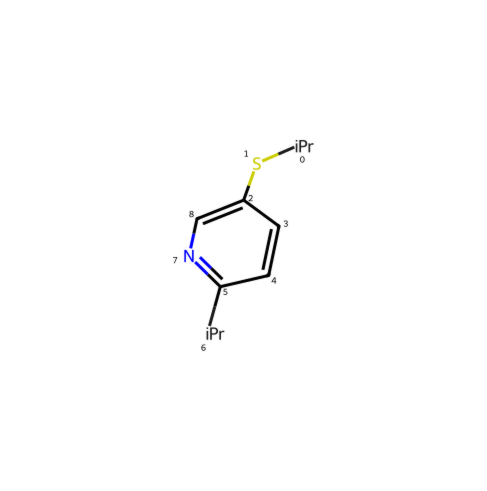 CC(C)Sc1ccc(C(C)C)nc1